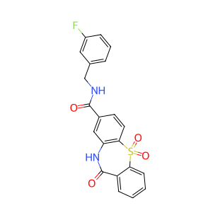 O=C(NCc1cccc(F)c1)c1ccc2c(c1)NC(=O)c1ccccc1S2(=O)=O